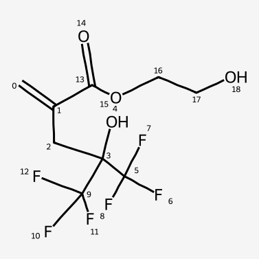 C=C(CC(O)(C(F)(F)F)C(F)(F)F)C(=O)OCCO